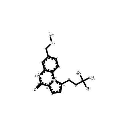 CCCOCc1ccc2c(c1)[nH]c(=O)c1ccc(CCC(C)(O)O)n12